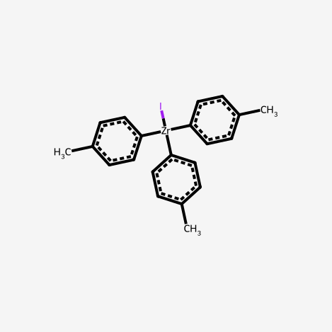 Cc1cc[c]([Zr]([I])([c]2ccc(C)cc2)[c]2ccc(C)cc2)cc1